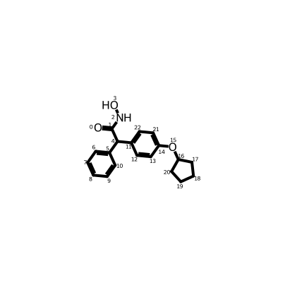 O=C(NO)C(c1ccccc1)c1ccc(OC2CCCC2)cc1